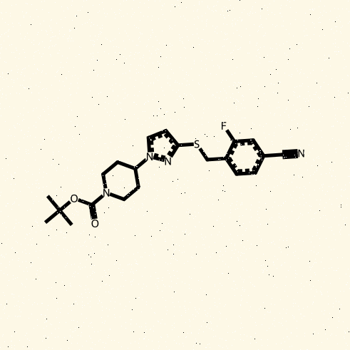 CC(C)(C)OC(=O)N1CCC(n2ccc(SCc3ccc(C#N)cc3F)n2)CC1